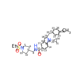 CCS(=O)(=O)N1CCC(CNC(=O)c2ccc3c(c2)cc(Cc2ccc(C)cc2)n3C2CC2)CC1